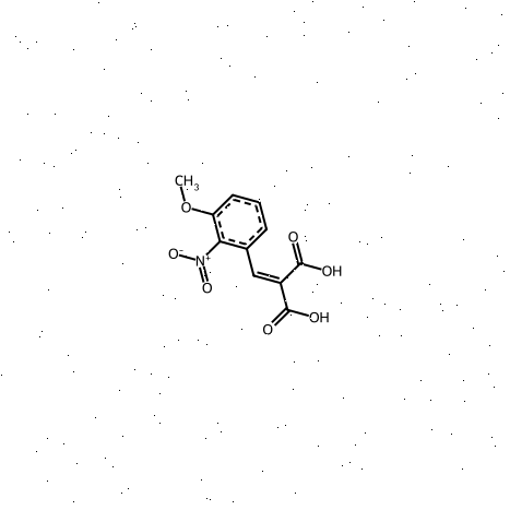 COc1cccc(C=C(C(=O)O)C(=O)O)c1[N+](=O)[O-]